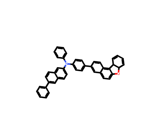 C1=CC2Oc3ccc4cc(-c5ccc(N(c6ccccc6)c6ccc7cc(-c8ccccc8)ccc7c6)cc5)ccc4c3C2C=C1